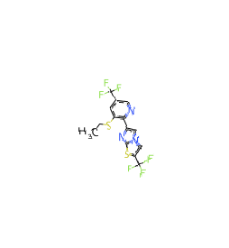 CCSc1cc(C(F)(F)F)cnc1-c1cn2cc(C(F)(F)F)sc2n1